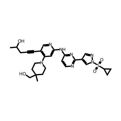 CC(O)CC#Cc1cnc(Nc2ccnc(-c3cnn(S(=O)(=O)C4CC4)c3)n2)cc1N1CCC(C)(CO)CC1